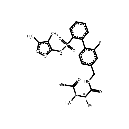 CCCCC(=O)N(C)[C@H](C(=O)NCc1ccc(-c2ccccc2S(=O)(=O)Nc2onc(C)c2C)c(F)c1)C(C)C